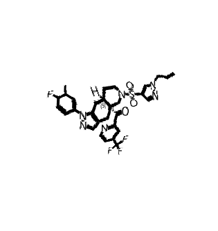 CCCn1cc(S(=O)(=O)N2CC[C@H]3Cc4c(cnn4C4=CC(C)C(F)C=C4)C[C@]3(C(=O)c3cc(C(F)(F)F)ccn3)C2)cn1